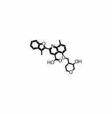 Cc1c(-c2cc(C(=O)O)c3c(OCC4CCOCC4O)ccc(C)c3n2)oc2ccccc12